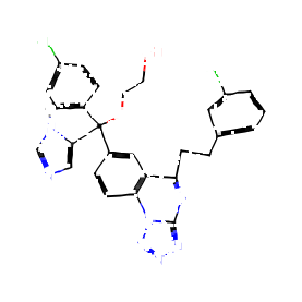 Cn1cncc1C(OCCO)(c1ccc(Cl)cc1)c1ccc2c(c1)c(CCc1cccc(Cl)c1)nc1nnnn12